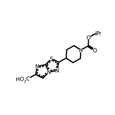 CC(C)OC(=O)N1CCC(c2nn3cc(C(=O)O)nc3s2)CC1